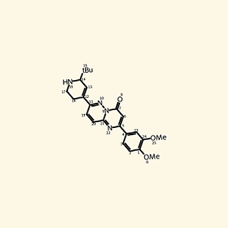 COc1ccc(-c2cc(=O)n3nc(C4=CC(C(C)(C)C)NCC4)ccc3n2)cc1OC